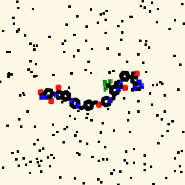 Cn1cnnc1CC1(c2cccc(-n3cc4c(C(F)(F)F)cc(CN5CCC(OCc6ccc(CN7CCN(c8ccc9c(c8)CN([C@H]8CCC(=O)NC8=O)C9=O)CC7)cc6)CC5)cn4c3=O)c2)COC1